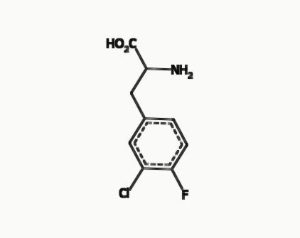 NC(Cc1ccc(F)c(Cl)c1)C(=O)O